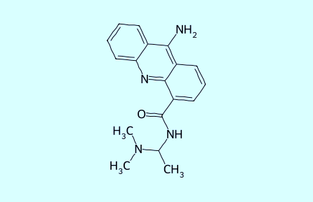 CC(NC(=O)c1cccc2c(N)c3ccccc3nc12)N(C)C